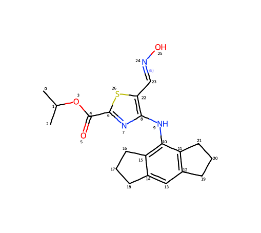 CC(C)OC(=O)c1nc(Nc2c3c(cc4c2CCC4)CCC3)c(/C=N/O)s1